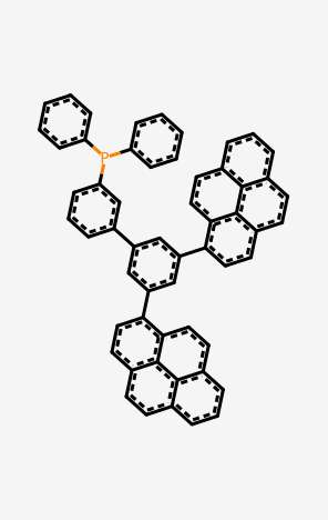 c1ccc(P(c2ccccc2)c2cccc(-c3cc(-c4ccc5ccc6cccc7ccc4c5c67)cc(-c4ccc5ccc6cccc7ccc4c5c67)c3)c2)cc1